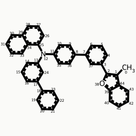 Cc1c(-c2cccc(-c3ccc(N(c4cccc(-c5ccccc5)c4)c4cccc5ccccc45)cc3)c2)oc2ccccc12